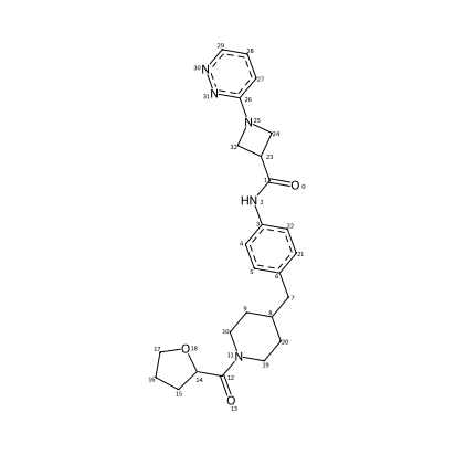 O=C(Nc1ccc(CC2CCN(C(=O)C3CCCO3)CC2)cc1)C1CN(c2cccnn2)C1